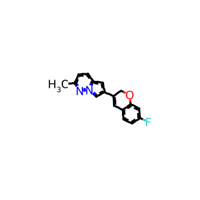 Cc1ccc2cc(C3=Cc4ccc(F)cc4OC3)cn2n1